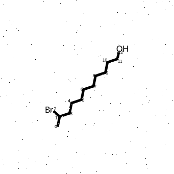 CC(Br)CCCCCCCCCO